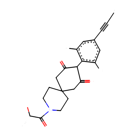 CC#Cc1cc(C)c(C2C(=O)CC3(CCN(C(=O)[C@H](C)O)CC3)CC2=O)c(C)c1